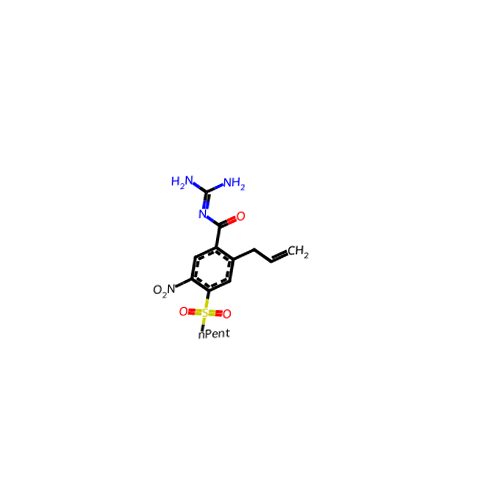 C=CCc1cc(S(=O)(=O)CCCCC)c([N+](=O)[O-])cc1C(=O)N=C(N)N